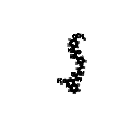 COc1ccc(NC(=O)NC2CCN(CCNC(=O)Nc3cc(C)nc4ccccc34)C2)cc1